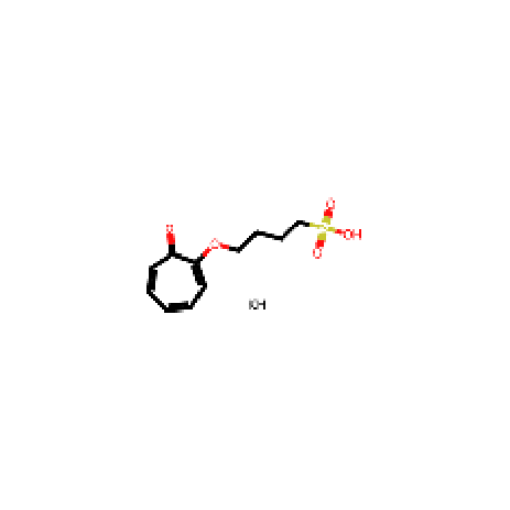 O=c1cccccc1OCCCCS(=O)(=O)O.[KH]